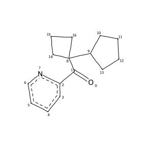 O=C(c1ccccn1)C1(C2CCCC2)CCC1